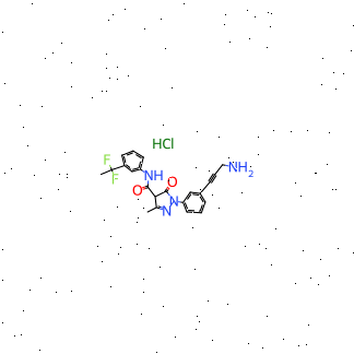 CC1=NN(c2cccc(C#CCN)c2)C(=O)C1C(=O)Nc1cccc(C(C)(F)F)c1.Cl